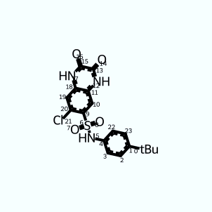 CC(C)(C)c1ccc(NS(=O)(=O)c2cc3[nH]c(=O)c(=O)[nH]c3cc2Cl)cc1